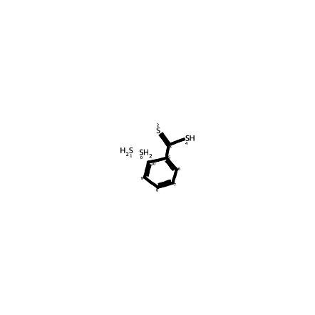 S.S.S=C(S)c1ccccc1